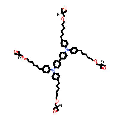 CCC1(COCCCCCCc2ccc(N(c3ccc(CCCCCCOCC4(CC)COC4)cc3)c3ccc(-c4ccc(N(c5ccc(CCCCCCOCC6(CC)COC6)cc5)c5ccc(CCCCCCOCC6(CC)COC6)cc5)cc4)cc3)cc2)COC1